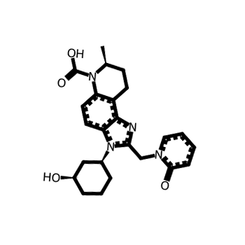 C[C@H]1CCc2c(ccc3c2nc(Cn2ccccc2=O)n3[C@H]2CCC[C@@H](O)C2)N1C(=O)O